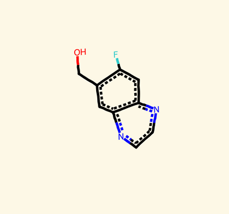 OCc1cc2nccnc2cc1F